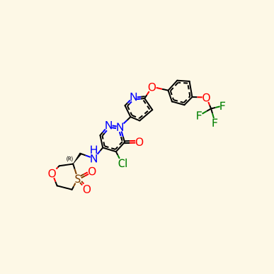 O=c1c(Cl)c(NC[C@@H]2COCCS2(=O)=O)cnn1-c1ccc(Oc2ccc(OC(F)(F)F)cc2)nc1